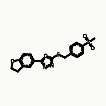 CS(=O)(=O)c1ccc(CSc2nnc(-c3ccc4c(c3)CCO4)o2)cc1